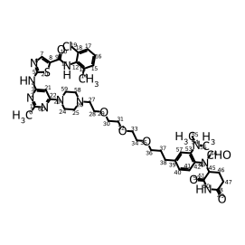 Cc1nc(Nc2ncc(C(=O)Nc3c(C)cccc3Cl)s2)cc(N2CCN(CCOCCOCCOCCCc3ccc(N(C=O)C4CCC(=O)NC4=O)c(N(C)C)c3)CC2)n1